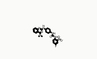 CN(C)c1nc(NC2CCC(NC(=O)Nc3ccc(F)cc3[N+](=O)[O-])CC2)nc2ccccc12